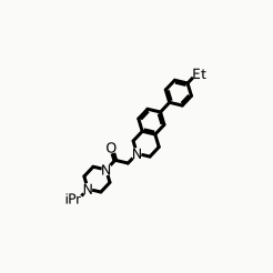 CCc1ccc(-c2ccc3c(c2)CCN(CC(=O)N2CCN(C(C)C)CC2)C3)cc1